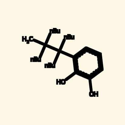 CCCCC(C)(CCCC)C(CCCC)(CCCC)c1cccc(O)c1O